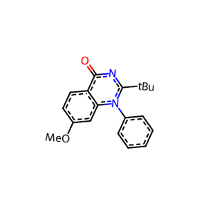 COc1ccc2c(=O)nc(C(C)(C)C)n(-c3ccccc3)c2c1